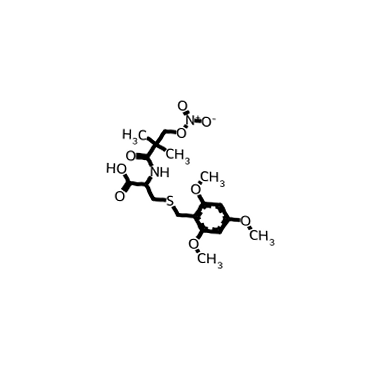 COc1cc(OC)c(CSCC(NC(=O)C(C)(C)CO[N+](=O)[O-])C(=O)O)c(OC)c1